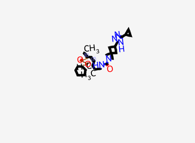 C=C(/C=C\C(=C/C)S(=O)(=O)C1CCCCC1)C(C)CNC(=O)N1CC2(CC(c3nnc(C4CC4)[nH]3)C2)C1